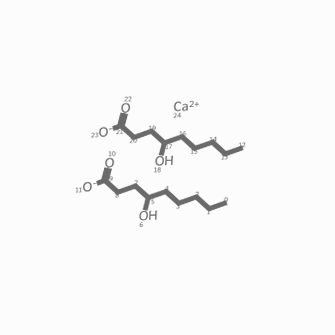 CCCCCC(O)CCC(=O)[O-].CCCCCC(O)CCC(=O)[O-].[Ca+2]